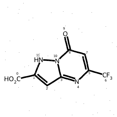 O=C(O)c1cc2nc(C(F)(F)F)cc(=O)n2[nH]1